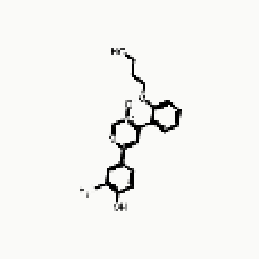 Cc1cc(-c2cc(-c3ccccc3OCCCO)[n+]([O-])cn2)ccc1O